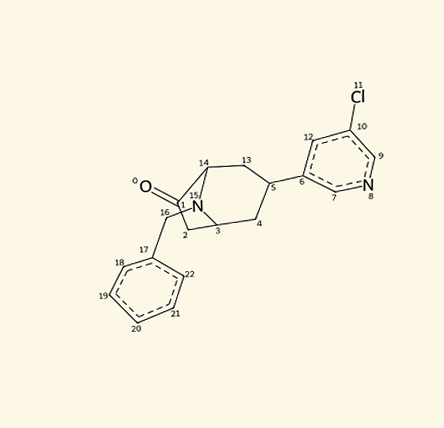 O=C1CC2CC(c3cncc(Cl)c3)CC1N2Cc1ccccc1